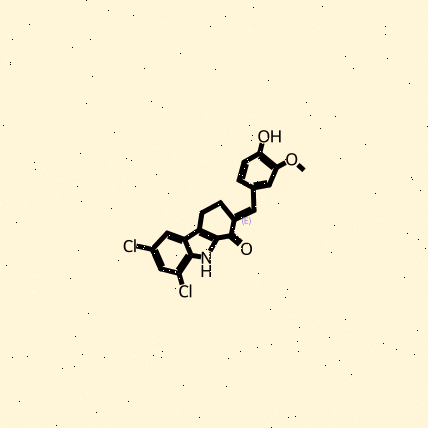 COc1cc(/C=C2\CCc3c([nH]c4c(Cl)cc(Cl)cc34)C2=O)ccc1O